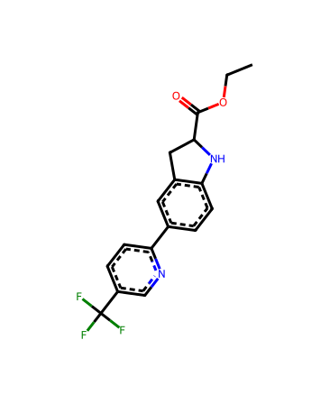 CCOC(=O)C1Cc2cc(-c3ccc(C(F)(F)F)cn3)ccc2N1